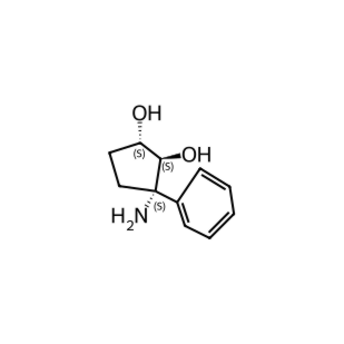 N[C@]1(c2ccccc2)CC[C@H](O)[C@H]1O